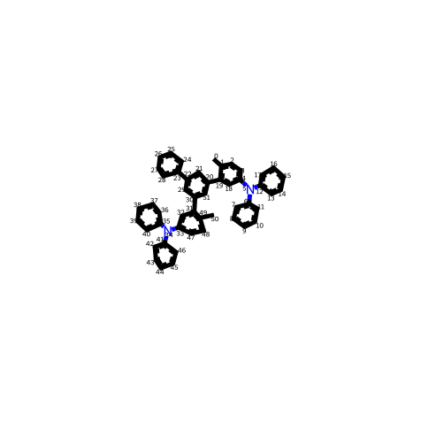 Cc1ccc(N(c2ccccc2)c2ccccc2)cc1-c1cc(-c2ccccc2)cc(-c2cc(N(c3ccccc3)c3ccccc3)ccc2C)c1